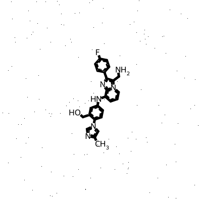 Cc1cn(-c2ccc(Nc3cccn4c(CN)c(-c5ccc(F)cc5)nc34)cc2CO)cn1